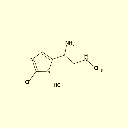 CNCC(N)c1cnc(Cl)s1.Cl